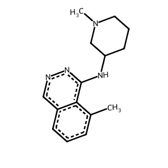 Cc1cccc2cnnc(NC3CCCN(C)C3)c12